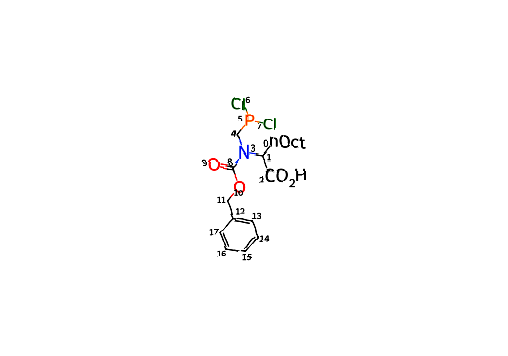 CCCCCCCCC(C(=O)O)N(CP(Cl)Cl)C(=O)OCc1ccccc1